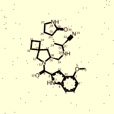 COc1cccc2[nH]c(C(=O)N3CC4(CCC4)C[C@H]3CN[C@H](C#N)C[C@@H]3CCNC3=O)cc12